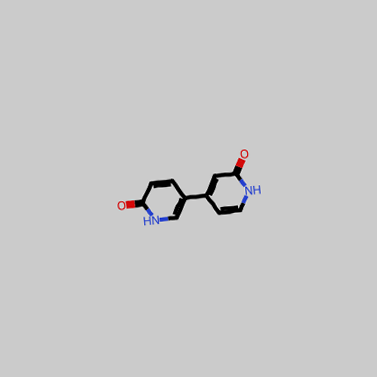 O=c1ccc(-c2cc[nH]c(=O)c2)c[nH]1